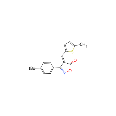 Cc1ccc(C=C2C(=O)ON=C2c2ccc(C(C)(C)C)cc2)s1